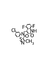 Cc1ncsc1C(=O)N(Cc1cc(=O)[nH]c2c(F)ccc(F)c12)c1cccc(Cl)c1